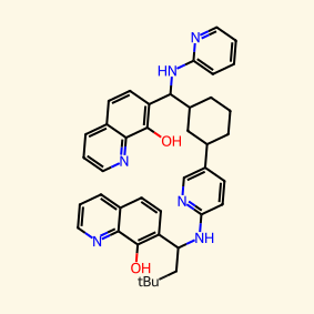 CC(C)(C)CC(Nc1ccc(C2CCCC(C(Nc3ccccn3)c3ccc4cccnc4c3O)C2)cn1)c1ccc2cccnc2c1O